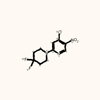 O=[N+]([O-])c1cnc(N2CCC(F)(F)CC2)cc1Cl